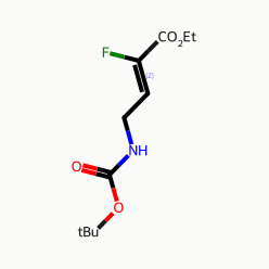 CCOC(=O)/C(F)=C/CNC(=O)OC(C)(C)C